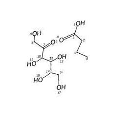 CCCC(=O)O.O=C(CO)C(O)C(O)C(O)CO